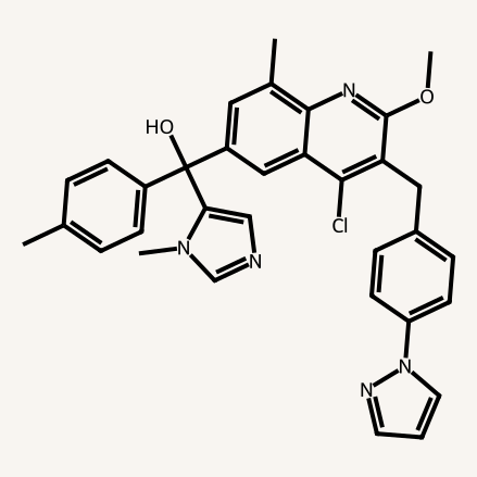 COc1nc2c(C)cc(C(O)(c3ccc(C)cc3)c3cncn3C)cc2c(Cl)c1Cc1ccc(-n2cccn2)cc1